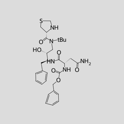 CC(C)(C)N(C[C@@H](O)[C@H](Cc1ccccc1)NC(=O)[C@H](CC(N)=O)NC(=O)OCc1ccccc1)C(=O)[C@@H]1CSCN1